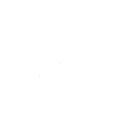 COc1cc(F)ccc1-c1noc2c(Br)cccc12